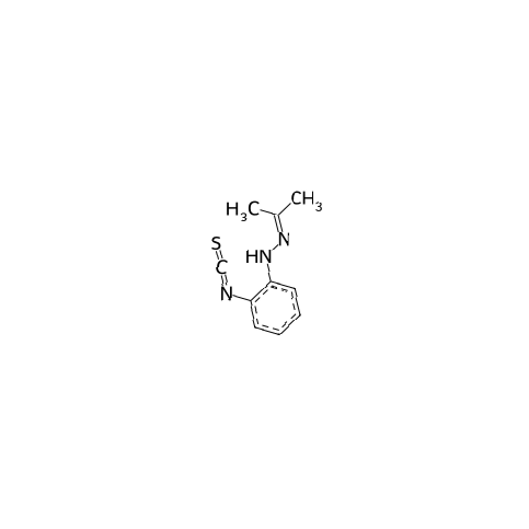 CC(C)=NNc1ccccc1N=C=S